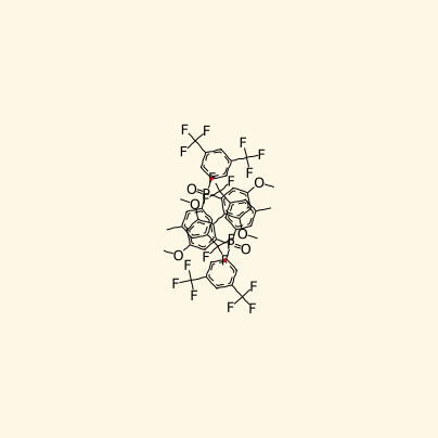 COc1cc(OC)c(-c2c(OC)cc(OC)cc2P(=O)(c2cc(C)cc(C(F)(F)F)c2)c2cc(C(F)(F)F)cc(C(F)(F)F)c2)c(P(=O)(c2cc(C)cc(C(F)(F)F)c2)c2cc(C(F)(F)F)cc(C(F)(F)F)c2)c1